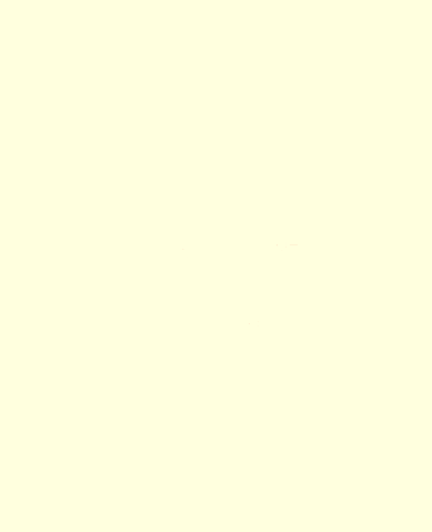 CC(C)c1oc(C(C)C)c(O)c1O